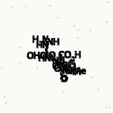 CNC1(C(=O)N[C@H](Cc2ccccc2)C(=O)N[C@@H](CCC(=O)O)C(=O)NCC(=O)N[C@H](C=O)CCCNC(=N)N)C[C@@H](C)CC[C@@H]1C(C)C